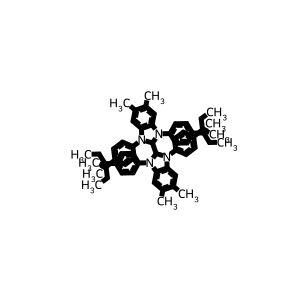 CCC(C)c1ccc(N2c3cc(C)c(C)cc3N(c3ccc(C(C)CC)cc3)C2C2N(c3ccc(C(C)CC)cc3)c3cc(C)c(C)cc3N2c2ccc(C(C)CC)cc2)cc1